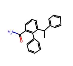 CC(c1ccccc1)c1cccc(C(N)=O)c1-c1ccccc1